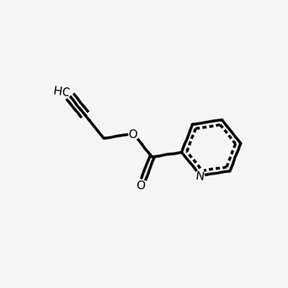 C#CCOC(=O)c1ccccn1